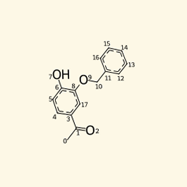 CC(=O)c1ccc(O)c(OCc2ccccc2)c1